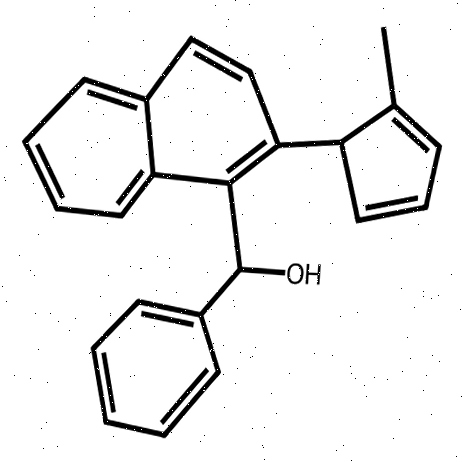 CC1=CC=CC1c1ccc2ccccc2c1C(O)c1ccccc1